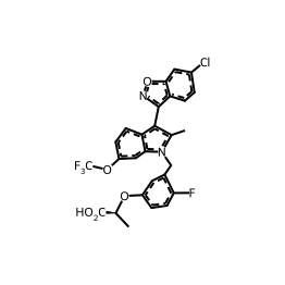 Cc1c(-c2noc3cc(Cl)ccc23)c2ccc(OC(F)(F)F)cc2n1Cc1cc(O[C@@H](C)C(=O)O)ccc1F